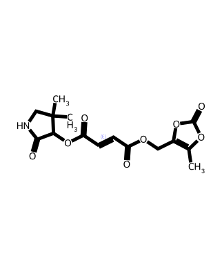 Cc1oc(=O)oc1COC(=O)/C=C/C(=O)OC1C(=O)NCC1(C)C